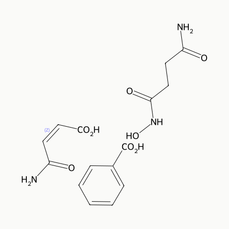 NC(=O)/C=C\C(=O)O.NC(=O)CCC(=O)NO.O=C(O)c1ccccc1